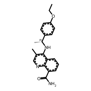 CCOc1ccc([C@@H](C)Nc2c(C)cnc3c(C(N)=O)cccc23)cc1